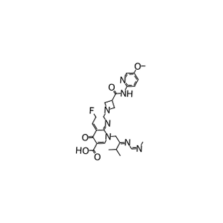 C/N=C\N=C(\CN1C=C(C(=O)O)C(=O)C(=C/CF)/C1=N\CN1CC(C(=O)Nc2ccc(OC)cn2)C1)C(C)C